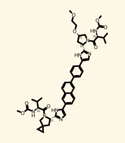 COCCO[C@H]1C[C@@H](c2ncc(-c3ccc(-c4ccc5cc(-c6cnc([C@@H]7CC8(CC8)CN7C(=O)[C@@H](NC(=O)OC)C(C)C)[nH]6)ccc5c4)cc3)[nH]2)N(C(=O)[C@@H](NC(=O)OC)C(C)C)C1